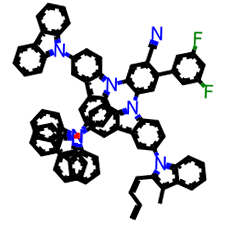 C=C/C=C\c1c(C)c2ccccc2n1-c1ccc2c(c1)c1cc(-n3c4ccccc4c4ccccc43)ccc1n2-c1cc(-c2cc(F)cc(F)c2)c(C#N)cc1-n1c2ccc(-n3c4ccccc4c4ccccc43)cc2c2cc(-n3c4ccccc4c4ccccc43)ccc21